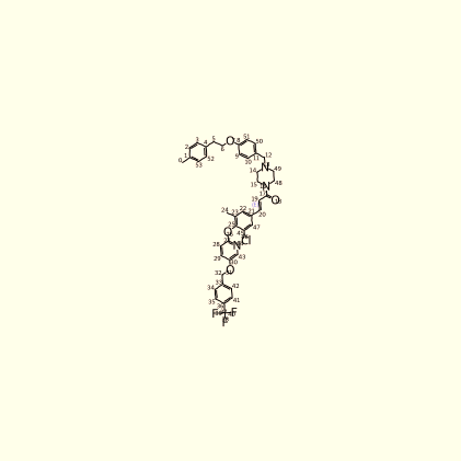 Cc1ccc(CCOc2ccc(CN3CCN(C(=O)/C=C/c4cc(C)c(Oc5ccc(OCc6ccc(C(F)(F)F)cc6)cn5)c(Cl)c4)CC3)cc2)cc1